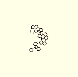 CC1(C)c2c(-c3cccc(N(c4cccc(-c5cccc6c5c5ccccc5n6-c5ccccc5)c4)c4ccccc4-c4ccccc4)c3-c3ccccc3)cccc2-c2ccc3ccccc3c21